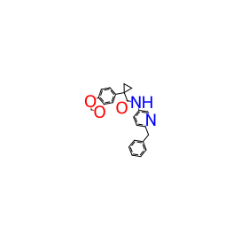 O=C(Nc1ccc(Cc2ccccc2)nc1)C1(c2ccc3c(c2)OCO3)CC1